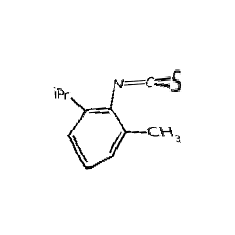 Cc1cccc(C(C)C)c1N=C=S